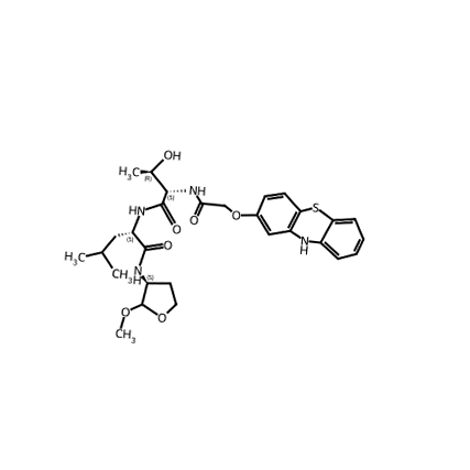 COC1OCC[C@@H]1NC(=O)[C@H](CC(C)C)NC(=O)[C@@H](NC(=O)COc1ccc2c(c1)Nc1ccccc1S2)[C@@H](C)O